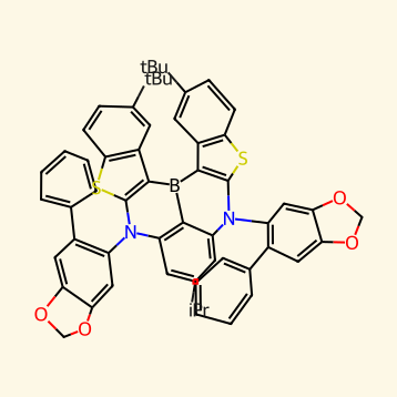 CC(C)c1cc2c3c(c1)N(c1cc4c(cc1-c1ccccc1)OCO4)c1sc4ccc(C(C)(C)C)cc4c1B3c1c(sc3ccc(C(C)(C)C)cc13)N2c1cc2c(cc1-c1ccccc1)OCO2